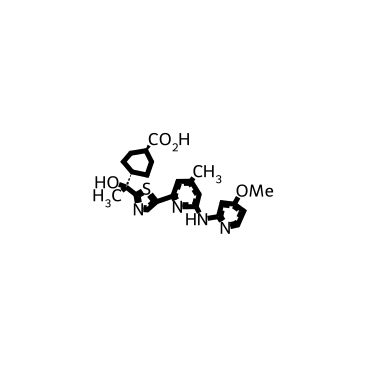 COc1ccnc(Nc2cc(C)cc(-c3cnc(C(C)(O)[C@H]4CC[C@H](C(=O)O)CC4)s3)n2)c1